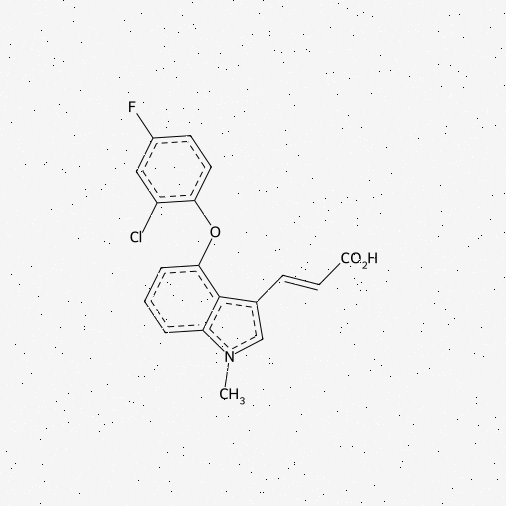 Cn1cc(C=CC(=O)O)c2c(Oc3ccc(F)cc3Cl)cccc21